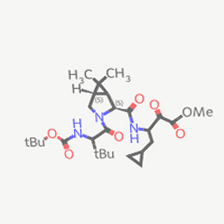 COC(=O)C(=O)C(CC1CC1)NC(=O)[C@@H]1C2[C@H](CN1C(=O)C(NC(=O)OC(C)(C)C)C(C)(C)C)C2(C)C